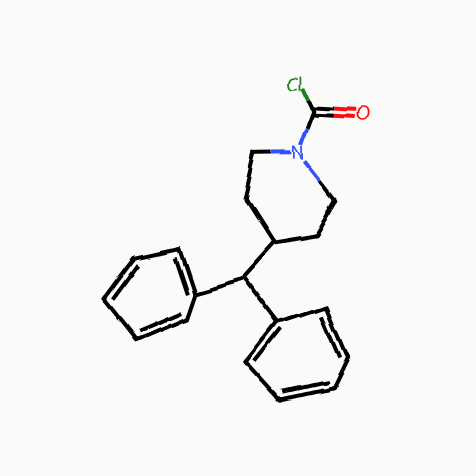 O=C(Cl)N1CCC(C(c2ccccc2)c2ccccc2)CC1